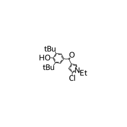 CCn1cc(C(=O)c2cc(C(C)(C)C)c(O)c(C(C)(C)C)c2)cc1Cl